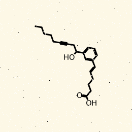 CCCCCC#CCC(O)c1cccc(C=CCCCC(=O)O)c1